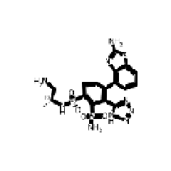 C[C@H](CN)NS(=O)(=O)c1ccc(-c2cccc3sc(N)nc23)c(-c2nnn[nH]2)c1S(N)(=O)=O